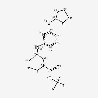 CC(C)(C)OC(=O)N1CCC[C@@H](Nc2nccc(OC3CCCC3)n2)C1